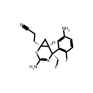 N#CCC[C@]12C[C@H]1[C@@](CF)(c1cc(N)ccc1F)N=C(N)S2